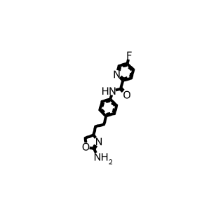 NC1=NC(CCc2ccc(NC(=O)c3ccc(F)cn3)cc2)CO1